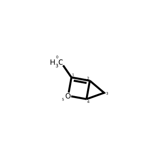 CC1=C2CC2O1